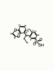 CCC(c1cc(S(=O)(=O)O)ccc1C)c1cccc2c1OC=CO2